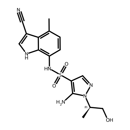 Cc1ccc(NS(=O)(=O)c2cnn([C@H](C)CO)c2N)c2[nH]cc(C#N)c12